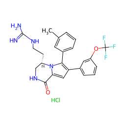 Cc1cccc(-c2c(-c3cccc(OC(F)(F)F)c3)cc3n2[C@@H](CCNC(=N)N)CNC3=O)c1.Cl